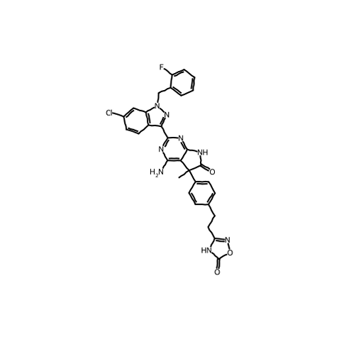 CC1(c2ccc(CCc3noc(=O)[nH]3)cc2)C(=O)Nc2nc(-c3nn(Cc4ccccc4F)c4cc(Cl)ccc34)nc(N)c21